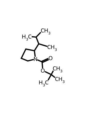 CC(C)C(C)C1CCCN1C(=O)OC(C)(C)C